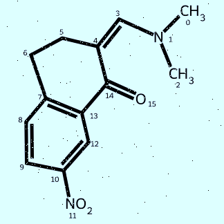 CN(C)/C=C1/CCc2ccc([N+](=O)[O-])cc2C1=O